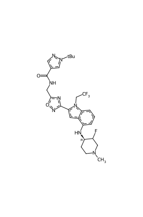 CN1CC[C@@H](Nc2cccc3c2cc(-c2noc(CNC(=O)c4cnn(C(C)(C)C)c4)n2)n3CC(F)(F)F)C(F)C1